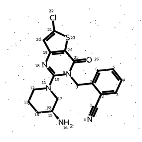 N#Cc1ccccc1Cn1c(N2CCC[C@H](N)C2)nc2cc(Cl)sc2c1=O